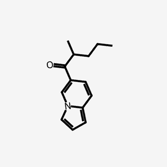 CCCC(C)C(=O)c1ccc2cccn2c1